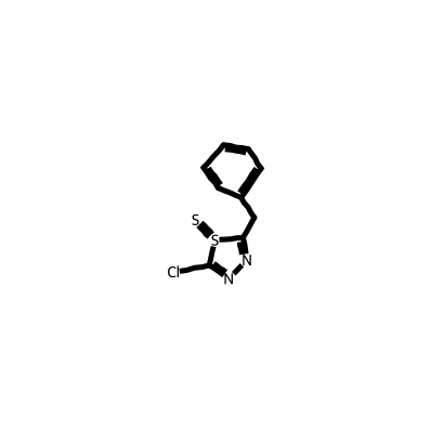 S=S1C(Cl)=NN=C1Cc1ccccc1